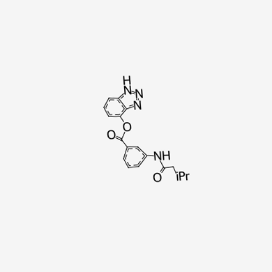 CC(C)CC(=O)Nc1cccc(C(=O)Oc2cccc3[nH]nnc23)c1